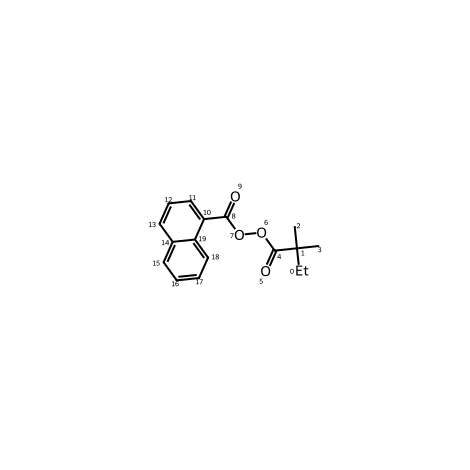 CCC(C)(C)C(=O)OOC(=O)c1cccc2ccccc12